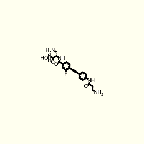 NCCC(=O)Nc1ccc(C#Cc2ccc(C(=O)N[C@@H](CN)C(=O)NO)cc2F)cc1